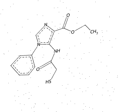 CCOC(=O)c1ncn(-c2ccccc2)c1NC(=O)CS